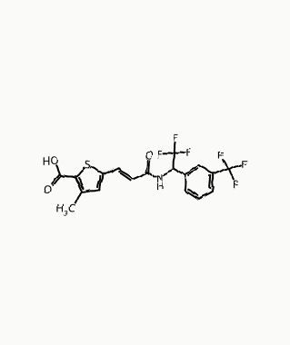 Cc1cc(C=CC(=O)NC(c2cccc(C(F)(F)F)c2)C(F)(F)F)sc1C(=O)O